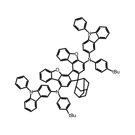 CC(C)(C)c1ccc(N(c2ccc3c(c2)c2ccccc2n3-c2ccccc2)c2cc3c(c4c2oc2ccccc24)-c2c(cc(N(c4ccc(C(C)(C)C)cc4)c4ccc5c(c4)c4ccccc4n5-c4ccccc4)c4c2oc2ccccc24)C32C3CC4CC(C3)CC2C4)cc1